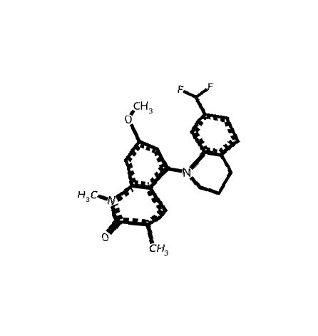 COc1cc(N2CCCc3ccc(C(F)F)cc32)c2cc(C)c(=O)n(C)c2c1